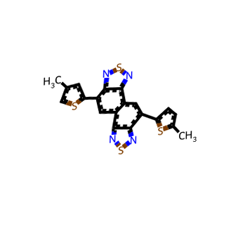 Cc1csc(-c2cc3c(cc(-c4ccc(C)s4)c4nsnc43)c3nsnc23)c1